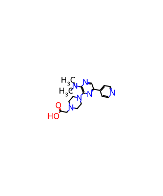 CN(C)c1ncc(-c2ccncc2)nc1N1CCN(CC(=O)O)CC1